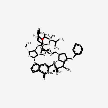 CC(C)C(=O)Nc1nc2c(ccn2[C@@H]2O[C@H](CO)[C@@H](O[Si](O[Si](O)(C(C)C)C(C)C)(C(C)C)C(C)C)[C@H]2OP(=S)(OCCC#N)OC[C@H]2C[C@@H](Oc3ccncn3)C[C@@H]2O[PH](=O)O)c(=O)[nH]1